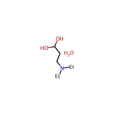 CCN(CC)CCC(O)O.O